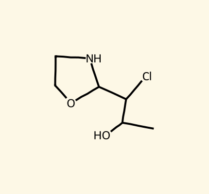 CC(O)C(Cl)C1NCCO1